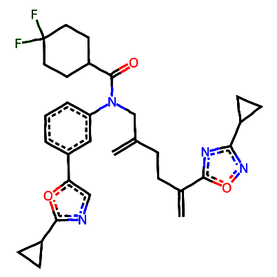 C=C(CCC(=C)c1nc(C2CC2)no1)CN(C(=O)C1CCC(F)(F)CC1)c1cccc(-c2cnc(C3CC3)o2)c1